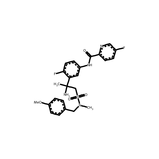 COc1ccc(CN(C)S(=O)(=O)CC(C)(N)c2cc(NC(=O)c3ccc(F)cn3)ccc2F)cc1